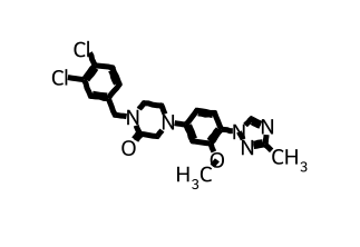 COc1cc(N2CCN(Cc3ccc(Cl)c(Cl)c3)C(=O)C2)ccc1-n1cnc(C)n1